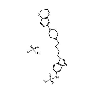 CS(=O)(=O)Cl.CS(=O)(=O)Nc1ccc2c(c1)ncn2CCCCN1CCN(c2ccc3c(c2)OCCO3)CC1